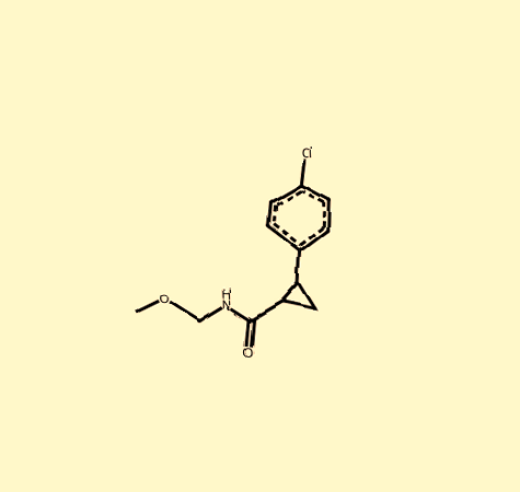 COCNC(=O)C1CC1c1ccc(Cl)cc1